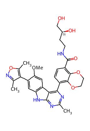 COc1cc2c(cc1-c1c(C)noc1C)[nH]c1nc(C)nc(-c3ccc(C(=O)NCC[C@H](O)CO)c4c3OCCO4)c12